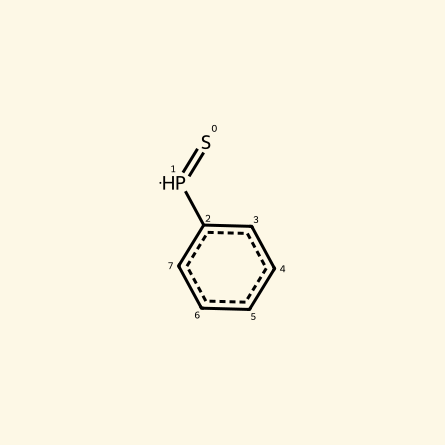 S=[PH]c1ccccc1